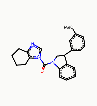 COc1cccc(C2CN(C(=O)n3cnc4c3CCCC4)c3ccccc32)c1